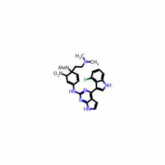 CNC1(CCN(C)C)C=CC(Nc2nc(-c3c[nH]c4cccc(F)c34)c3cc[nH]c3n2)=CC1[N+](=O)[O-]